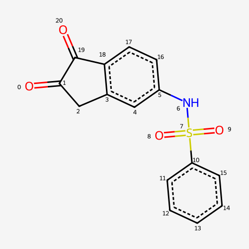 O=C1Cc2cc(NS(=O)(=O)c3ccccc3)ccc2C1=O